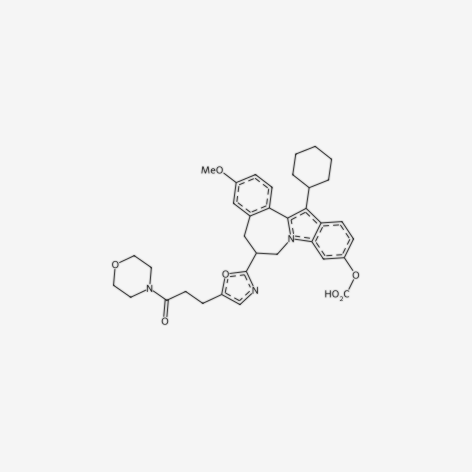 COc1ccc2c(c1)CC(c1ncc(CCC(=O)N3CCOCC3)o1)Cn1c-2c(C2CCCCC2)c2ccc(OC(=O)O)cc21